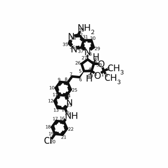 CC1(C)O[C@@H]2[C@@H](CCc3ccc4ccc(Nc5ccc(Cl)cc5)nc4c3)C[C@@H](n3ccc4c(N)ncnc43)[C@@H]2O1